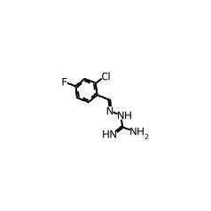 N=C(N)N/N=C/c1ccc(F)cc1Cl